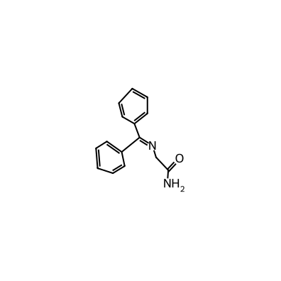 NC(=O)CN=C(c1ccccc1)c1ccccc1